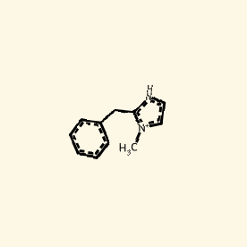 C[n+]1cc[nH]c1Cc1ccccc1